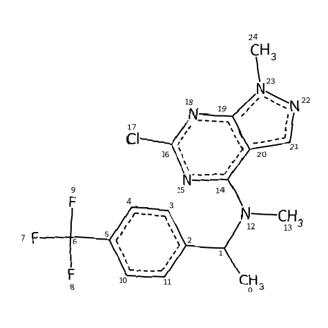 CC(c1ccc(C(F)(F)F)cc1)N(C)c1nc(Cl)nc2c1cnn2C